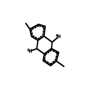 [2H]C1c2ccc(C)cc2C([2H])c2ccc(C)cc21